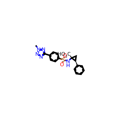 Cn1nnc(-c2ccc(S(=O)(=O)N[C@]3(C(=O)O)C[C@H]3c3ccccc3)cc2)n1